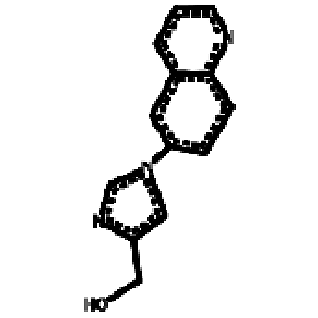 OCc1cn(-c2ccc3ncccc3c2)cn1